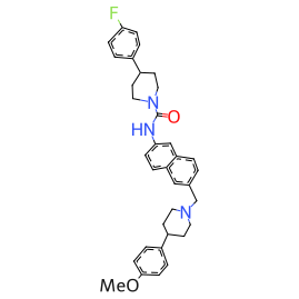 COc1ccc(C2CCN(Cc3ccc4cc(NC(=O)N5CCC(c6ccc(F)cc6)CC5)ccc4c3)CC2)cc1